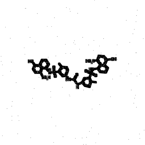 Cc1ccc(NC(=O)Nc2ccc(C)c(S(=O)(=O)Nc3cccc4c(O)ccc(S(=O)(=O)O)c34)c2)cc1S(=O)(=O)Nc1cccc2c(O)ccc(S(=O)(=O)O)c12